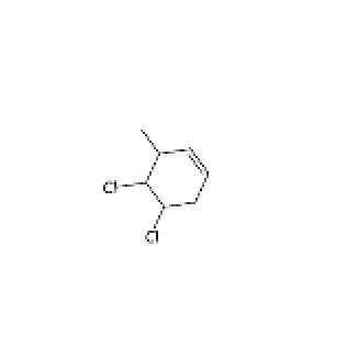 CC1C=CCC(Cl)C1Cl